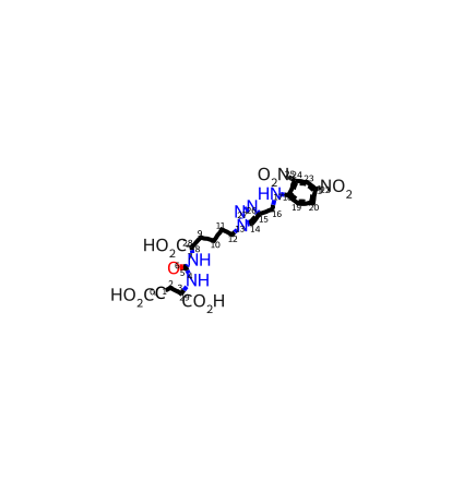 O=C(O)CCC(NC(=O)N[C@@H](CCCCn1cc(CNc2ccc([N+](=O)[O-])cc2[N+](=O)[O-])nn1)C(=O)O)C(=O)O